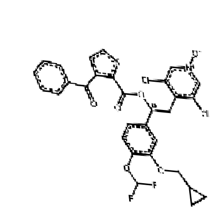 O=C(c1ccccc1)c1ccsc1C(=O)O[C@@H](Cc1c(Cl)c[n+]([O-])cc1Cl)c1ccc(OC(F)F)c(OCC2CC2)c1